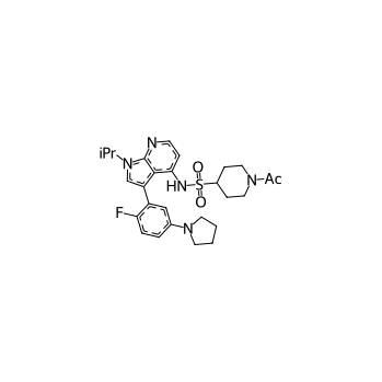 CC(=O)N1CCC(S(=O)(=O)Nc2ccnc3c2c(-c2cc(N4CCCC4)ccc2F)cn3C(C)C)CC1